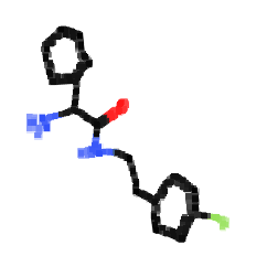 NC(C(=O)NCCc1ccc(F)cc1)c1ccccc1